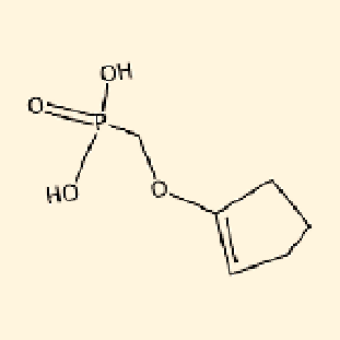 O=P(O)(O)COC1=CCCC1